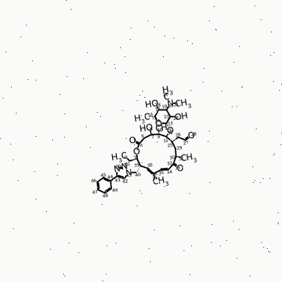 CC[C@H]1OC(=O)C[C@@H](O)[C@H](C)[C@@H](O[C@@H]2O[C@H](C)[C@@H](O)C(N(C)C)C2O)[C@@H](CC=O)C[C@@H](C)C(=O)/C=C/C(C)=C/[C@@H]1Cn1cc(-c2ccccc2)nn1